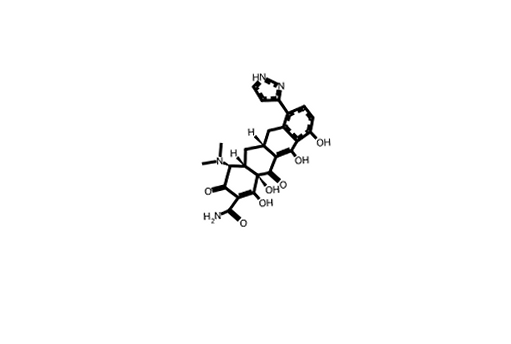 CN(C)[C@@H]1C(=O)C(C(N)=O)=C(O)[C@@]2(O)C(=O)C3=C(O)c4c(O)ccc(-c5cc[nH]n5)c4C[C@H]3C[C@@H]12